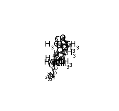 CC(C)C1=C2[C@H]3CC[C@@H]4[C@@]5(C)CC[C@@](O)(NC(=O)CCCN6CCCC6)C(C)(C)[C@@H]5CC[C@@]4(C)[C@]3(C)CC[C@@]2(C)CC1=O